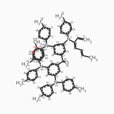 C=C/C(=C\C=C\C)N(c1ccc(C)cc1)c1cc(C(=O)c2cc(N(c3ccc(C)cc3)c3ccc(C)cc3)cc(N(c3ccc(C)cc3)c3ccc(C)cc3)c2)cc(N(c2ccc(C)cc2)c2ccc(C)cc2)c1